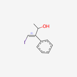 CC(O)/C(=C/I)c1ccccc1